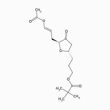 CC(=O)O/C=C/C[C@@H]1O[C@@H](CCCOC(=O)C(C)(C)C)CC1=O